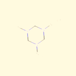 O=[N+]([O-])N1CN([N+](=O)[O-])CN([N+](=O)[O-])C1.[Pb+4]